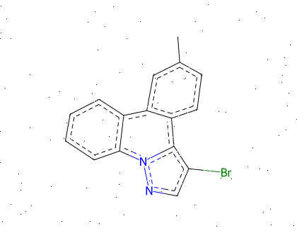 Cc1ccc2c(c1)c1ccccc1n1ncc(Br)c21